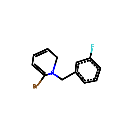 Fc1cccc(CN2CC=CC=C2Br)c1